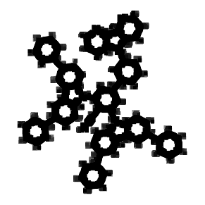 N#Cc1c(-n2c3ccc(-c4ccccc4)cc3c3cc(-c4ccccc4)ccc32)cc(-c2cccc(-n3c4cccnc4c4ncccc43)c2)cc1-n1c2ccc(-c3ccccc3)cc2c2cc(-c3ccccc3)ccc21